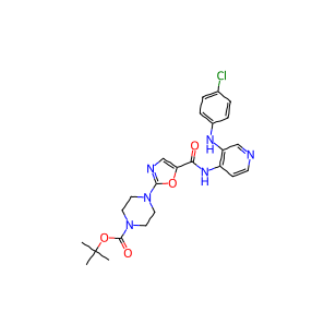 CC(C)(C)OC(=O)N1CCN(c2ncc(C(=O)Nc3ccncc3Nc3ccc(Cl)cc3)o2)CC1